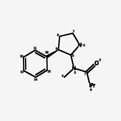 CC(C)C(=O)N(C)C1[N]CC[C@@H]1c1ccccc1